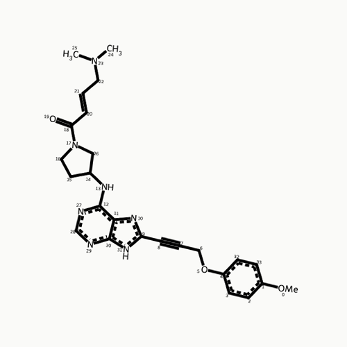 COc1ccc(OCC#Cc2nc3c(NC4CCN(C(=O)C=CCN(C)C)C4)ncnc3[nH]2)cc1